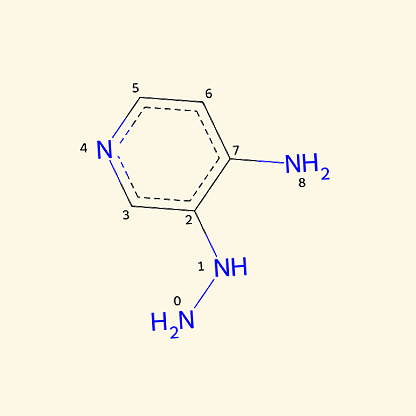 NNc1cnccc1N